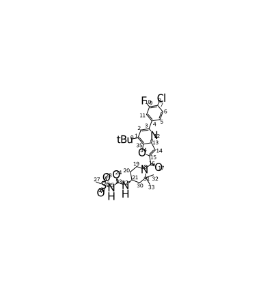 CC(C)(C)c1cc(-c2ccc(Cl)c(F)c2)nc2cc(C(=O)N3CC[C@H](NC(=O)NS(C)(=O)=O)CC3(C)C)oc12